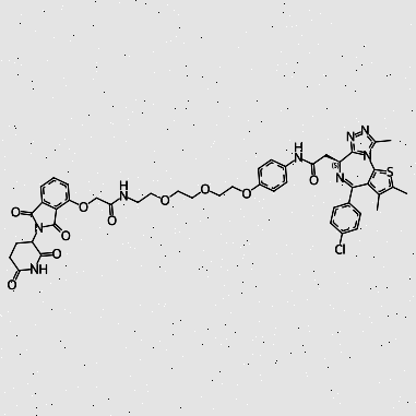 Cc1sc2c(c1C)C(c1ccc(Cl)cc1)=N[C@@H](CC(=O)Nc1ccc(OCCOCCOCCNC(=O)COc3cccc4c3C(=O)N(C3CCC(=O)NC3=O)C4=O)cc1)c1nnc(C)n1-2